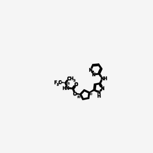 C[C@H](NC(=O)O[C@@H]1CC[C@H](c2cc(Nc3cccnn3)n[nH]2)C1)C(F)(F)F